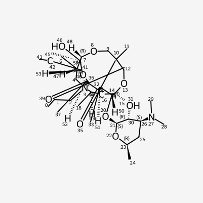 CCCN1C[C@H](C)[C@H]2OCC(C)CO[C@](C)(C[C@H]1C)[C@H](O[C@@H]1O[C@H](C)C[C@H](N(C)C)[C@H]1O)[C@@H](C)C(=O)[C@@H](C)C(=O)O[C@H](CC)[C@@]2(C)O